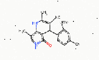 [C-]#[N+]C1=C(C)Nc2c(C)c[nH]c(=O)c2C1c1ccc(C#N)cc1OC